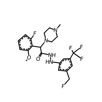 COc1cccc(F)c1C(C(=O)NNc1cc(CF)cc(C(F)(F)F)c1)N1CCN(C)CC1